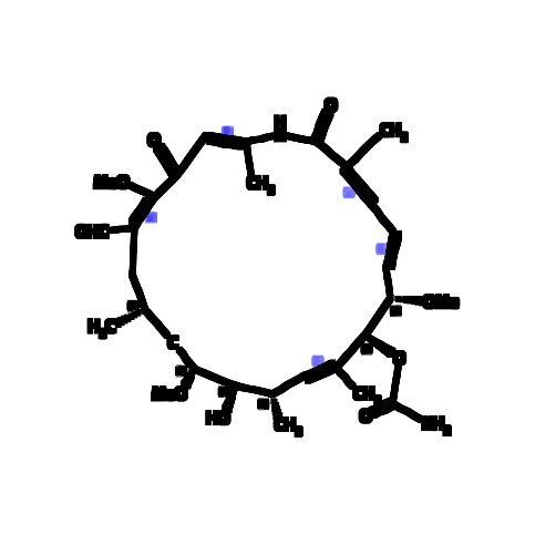 CO/C1=C(\C=O)C[C@@H](C)C[C@H](OC)[C@H](O)[C@@H](C)/C=C(\C)[C@H](OC(N)=O)[C@@H](OC)/C=C/C=C(\C)C(=O)N/C(C)=C/C1=O